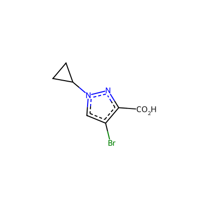 O=C(O)c1nn(C2CC2)cc1Br